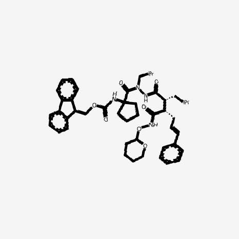 CC(C)C[C@@H](C(=O)NN(CC(C)C)C(=O)C1(NC(=O)OCC2c3ccccc3-c3ccccc32)CCCC1)[C@H](CC=Cc1ccccc1)C(=O)NOC1CCCCO1